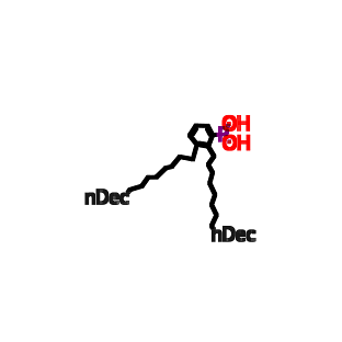 CCCCCCCCCCCCCCCCCCc1cccc(P(O)O)c1CCCCCCCCCCCCCCCCCC